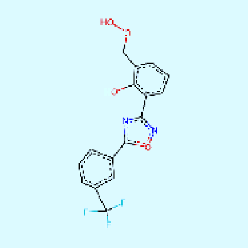 OOCc1cccc(-c2noc(-c3cccc(C(F)(F)F)c3)n2)c1O